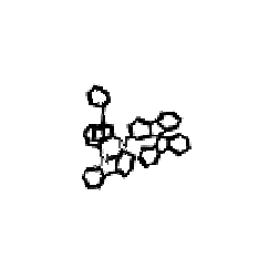 c1ccc(-c2cccc(N(c3ccc4c(c3)C3(c5ccccc5-c5ccccc53)c3ccccc3-4)c3cccc4c5ccccc5n(-c5ccccc5)c34)c2)cc1